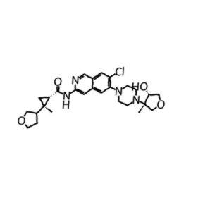 C[C@@]1(C2CCOC2)C[C@@H]1C(=O)Nc1cc2cc(N3CCN([C@@]4(C)COC[C@H]4O)CC3)c(Cl)cc2cn1